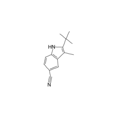 Cc1c(C(C)(C)C)[nH]c2ccc(C#N)cc12